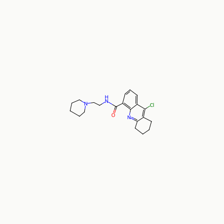 O=C(NCCN1CCCCC1)c1cccc2c(Cl)c3c(nc12)CCCC3